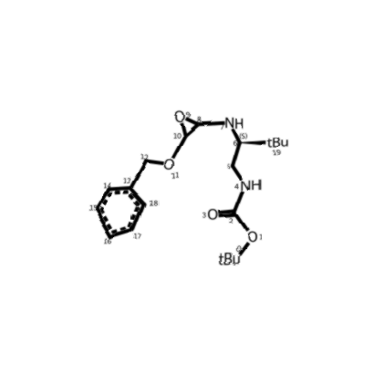 CC(C)(C)OC(=O)NC[C@@H](NC1OC1OCc1ccccc1)C(C)(C)C